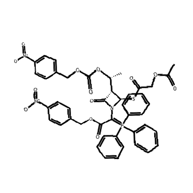 CC(=O)OCC(=O)S[C@@H]1[C@@H]([C@@H](C)OC(=O)OCc2ccc([N+](=O)[O-])cc2)C(=O)N1C(C(=O)OCc1ccc([N+](=O)[O-])cc1)=P(c1ccccc1)(c1ccccc1)c1ccccc1